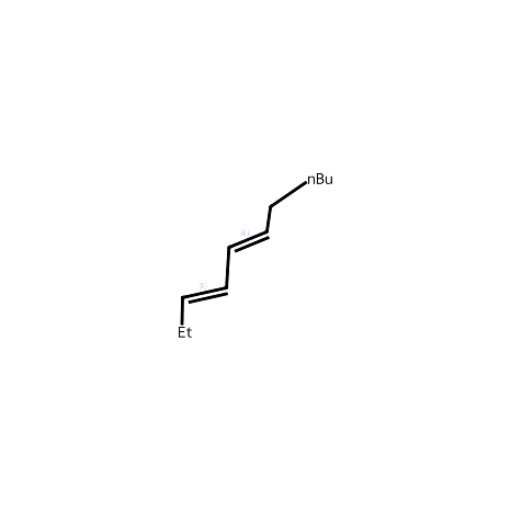 CC/C=C/C=C/CCCCC